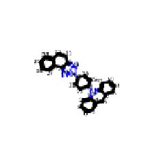 c1ccc2c(c1)Cc1ccccc1N2c1ccc(-n2nc3ccc4ccccc4c3n2)cc1